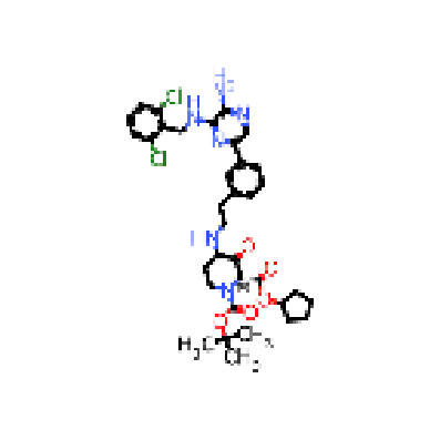 CC(C)(C)OC(=O)N1CCC(NCCc2cccc(-c3cnc(N)c(NCc4c(Cl)cccc4Cl)n3)c2)C(=O)[C@@H]1C(=O)OC1CCCC1